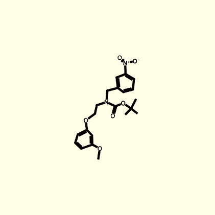 COc1cccc(OCCN(Cc2cccc([N+](=O)[O-])c2)C(=O)OC(C)(C)C)c1